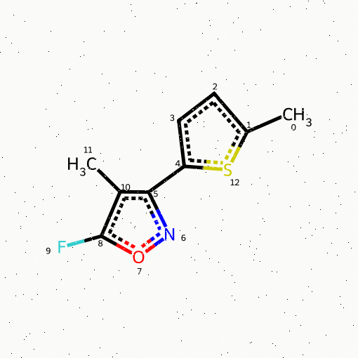 Cc1ccc(-c2noc(F)c2C)s1